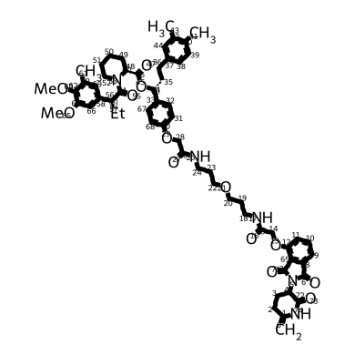 C=C1CCC(N2C(=O)c3cccc(OCC(=O)NCCCOCCCNC(=O)COc4ccc([C@@H](CCc5ccc(C)c(C)c5)OC(=O)[C@@H]5CCCCN5C(=O)[C@@H](CC)c5cc(C)c(OC)c(OC)c5)cc4)c3C2=O)C(=O)N1